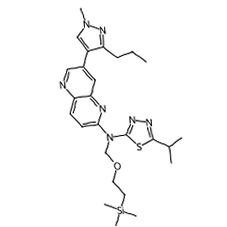 CCCc1nn(C)cc1-c1cnc2ccc(N(COCC[Si](C)(C)C)c3nnc(C(C)C)s3)nc2c1